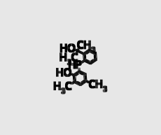 Cc1cc(C)c(O)c(Pc2ccccc2C(C)(C)O)c1